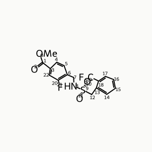 COC(=O)c1ccc(CNS(=O)(=O)Cc2ccccc2C(F)(F)F)c(F)c1